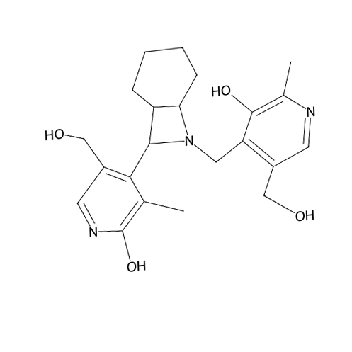 Cc1ncc(CO)c(CN2C3CCCCC3C2c2c(CO)cnc(O)c2C)c1O